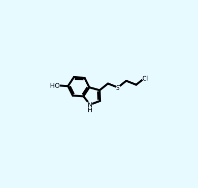 Oc1ccc2c(CSCCCl)c[nH]c2c1